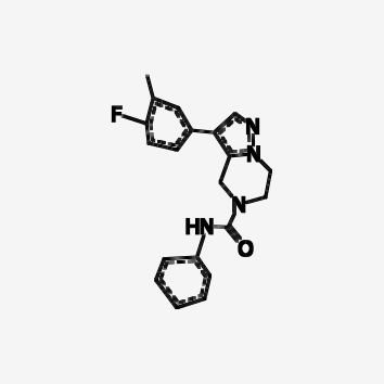 Cc1cc(-c2cnn3c2CN(C(=O)Nc2ccccc2)CC3)ccc1F